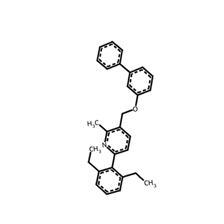 CCc1cccc(CC)c1-c1ccc(COc2cccc(-c3ccccc3)c2)c(C)n1